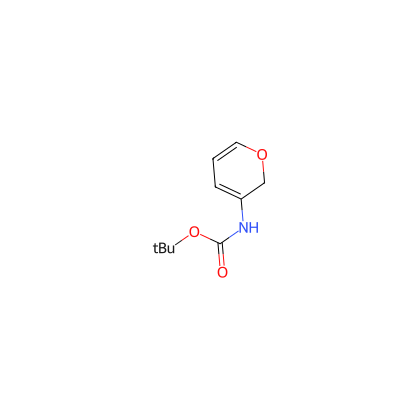 CC(C)(C)OC(=O)NC1=CC=COC1